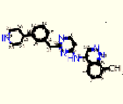 Cc1cccc2c(Nc3ccnc(Cc4cccc(C5CCNCC5)c4)n3)cnnc12